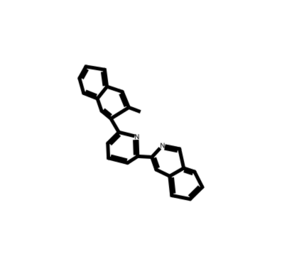 Cc1cc2ccccc2cc1-c1cccc(-c2cc3ccccc3cn2)n1